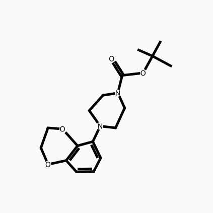 CC(C)(C)OC(=O)N1CCN(c2cccc3c2OCCO3)CC1